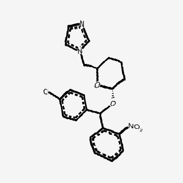 O=[N+]([O-])c1ccccc1C(O[C@H]1CCC[C@H](Cn2ccnc2)O1)c1ccc(Cl)cc1